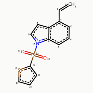 C=Cc1cccc2c1ccn2S(=O)(=O)c1cccs1